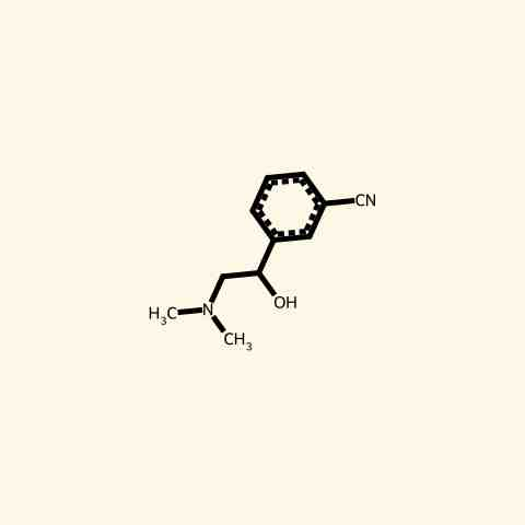 CN(C)CC(O)c1cccc(C#N)c1